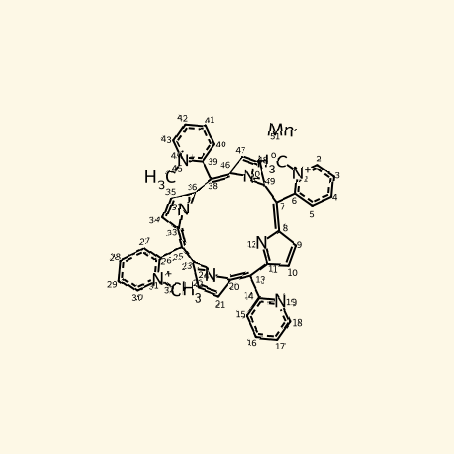 C[n+]1ccccc1C1=C2C=CC(=N2)C(c2ccccn2)=C2C=CC(=N2)C(c2cccc[n+]2C)=C2C=CC(=N2)C(c2cccc[n+]2C)=C2C=CC1=N2.[Mn]